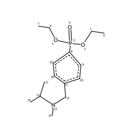 CCOP(=O)(OCC)c1ccc(CN(C)C(C)C)cc1